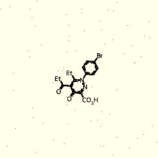 CCC(=O)c1c(CC)n(-c2ccc(Br)cc2)nc(C(=O)O)c1=O